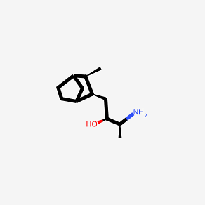 C[C@H](N)[C@@H](O)C[C@H]1C2CCC(C2)[C@H]1C